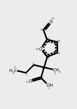 CCCC(C)(C(=O)O)c1ccc(C=O)o1